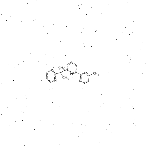 Cc1ccnc(-c2cccc(C(C)(C)c3ccccn3)n2)c1